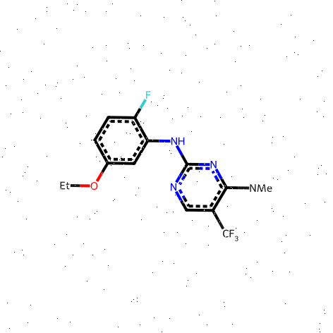 CCOc1[c]cc(F)c(Nc2ncc(C(F)(F)F)c(NC)n2)c1